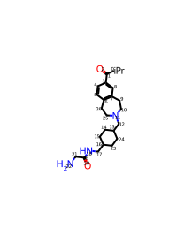 CC(C)C(=O)c1ccc2c(c1)CCN(CC1CCC(CNC(=O)CN)CC1)CC2